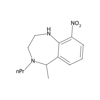 CCCN1CCNc2c(cccc2[N+](=O)[O-])C1C